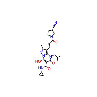 Cc1nn2c(O)c(C(=O)NC3CC3)c(=O)n(CC(C)C)c2c1/C=C/C(=O)N1CC[C@@H](C#N)C1